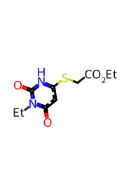 CCOC(=O)CSc1cc(=O)n(CC)c(=O)[nH]1